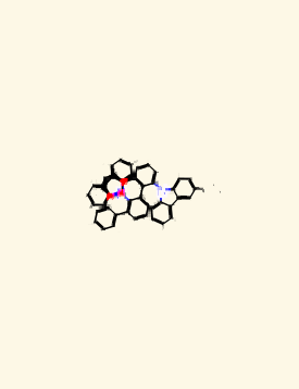 N#Cc1ccc2c(c1)c1ccccc1n2-c1cccc(-c2ccccc2)c1-c1cccc(-c2ccccc2)c1-n1c2ccccc2c2ccccc21